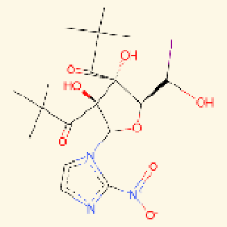 CC(C)(C)C(=O)[C@@]1(O)C(n2ccnc2[N+](=O)[O-])O[C@H](C(O)I)[C@]1(O)C(=O)C(C)(C)C